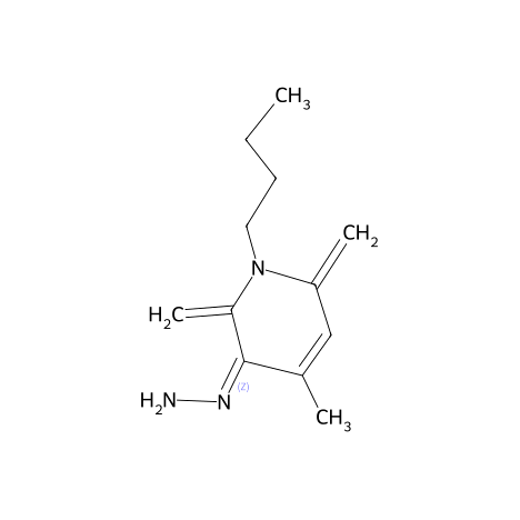 C=c1cc(C)/c(=N/N)c(=C)n1CCCC